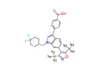 [2H]C([2H])([2H])c1noc(C([2H])([2H])[2H])c1-c1ccc2c(-c3ccc(C(=O)O)cc3)cn(CC3CCC(F)(F)CC3)c2c1